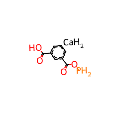 O=C(O)c1cccc(C(=O)OP)c1.[CaH2]